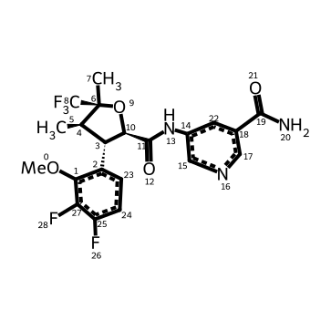 COc1c([C@@H]2[C@@H](C)[C@@](C)(C(F)(F)F)O[C@H]2C(=O)Nc2cncc(C(N)=O)c2)ccc(F)c1F